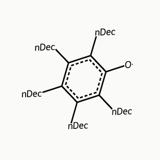 CCCCCCCCCCc1c([O])c(CCCCCCCCCC)c(CCCCCCCCCC)c(CCCCCCCCCC)c1CCCCCCCCCC